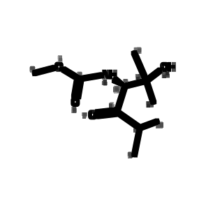 COC(=O)N[C@H](C(=O)C(C)C)C(C)(C)O